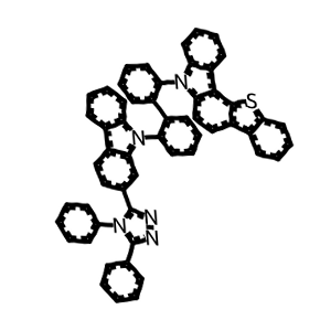 c1ccc(-c2nnc(-c3ccc4c5ccccc5n(-c5ccccc5-c5ccccc5-n5c6ccccc6c6c7sc8ccccc8c7ccc65)c4c3)n2-c2ccccc2)cc1